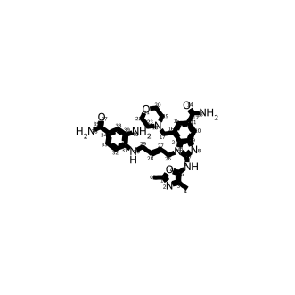 Cc1nc(C)c(Nc2nc3cc(C(N)=O)cc(CN4CCOCC4)c3n2C/C=C/CNc2ccc(C(N)=O)cc2N)o1